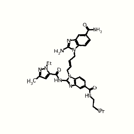 CCn1nc(C)cc1C(=O)Nc1nc2cc(C(=O)NCCC(C)C)ccc2n1C/C=C/Cn1c(N)nc2cc(C(N)=O)ccc21